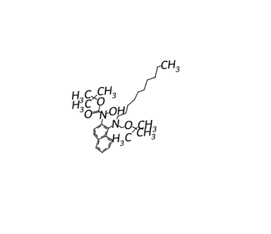 CCCCCCCCCCN(COC(C)(C)C)c1c(N(O)C(=O)OC(C)(C)C)ccc2ccccc12